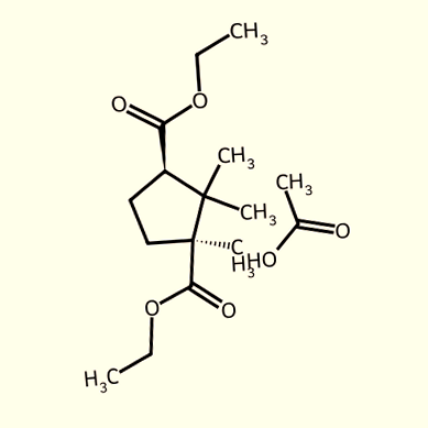 CC(=O)O.CCOC(=O)[C@@H]1CC[C@](C)(C(=O)OCC)C1(C)C